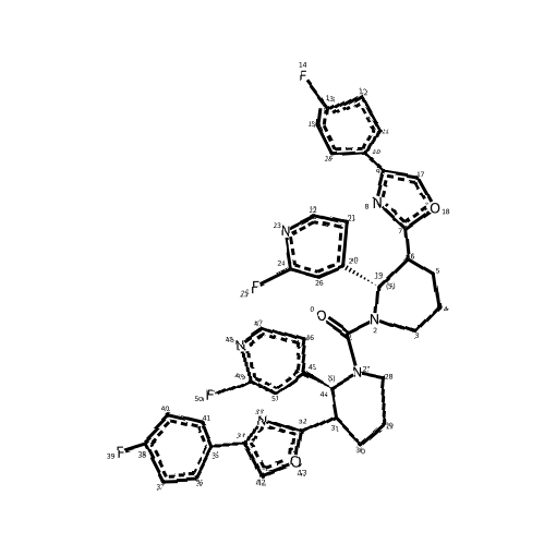 O=C(N1CCCC(c2nc(-c3ccc(F)cc3)co2)[C@H]1c1ccnc(F)c1)N1CCCC(c2nc(-c3ccc(F)cc3)co2)[C@H]1c1ccnc(F)c1